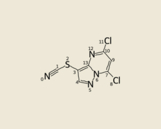 N#CSc1cnn2c(Cl)cc(Cl)nc12